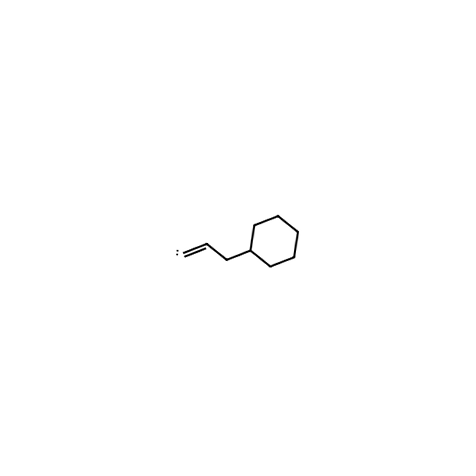 [C]=CCC1CCCCC1